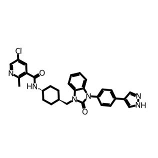 Cc1ncc(Cl)cc1C(=O)N[C@H]1CC[C@H](Cn2c(=O)n(-c3ccc(-c4cn[nH]c4)cc3)c3ccccc32)CC1